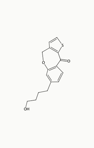 O=C1c2ccc(CCCCO)cc2OCc2ccsc21